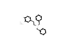 Oc1ccc(CCN(Cc2ccccc2)Cc2ccccc2)cc1O